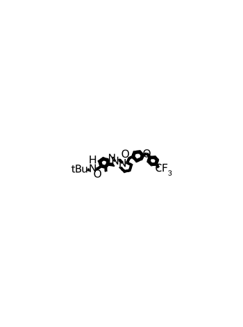 Cc1c(C(=O)NCC(C)(C)C)ccc2nn(CN3CCCCC3C(=O)c3ccc(Oc4ccc(C(F)(F)F)cc4)cc3)cc12